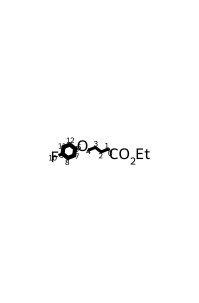 CCOC(=O)CCCCOc1ccc(F)cc1